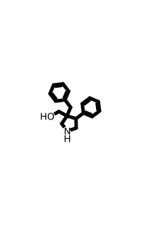 OCC1(Cc2ccccc2)CNCC1c1ccccc1